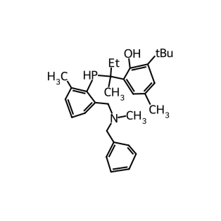 CCC(C)(Pc1c(C)cccc1CN(C)Cc1ccccc1)c1cc(C)cc(C(C)(C)C)c1O